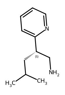 CC(C)C[C@@H](CN)c1ccccn1